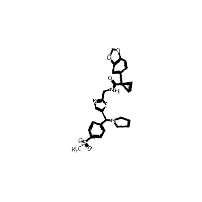 CS(=O)(=O)c1ccc(C(c2cnc(CNC(=O)C3(c4ccc5c(c4)OCO5)CC3)s2)N2CCCC2)cc1